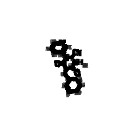 N#CCN(C(=O)C(CC1CCCCC1)C(N)=O)c1cccnc1